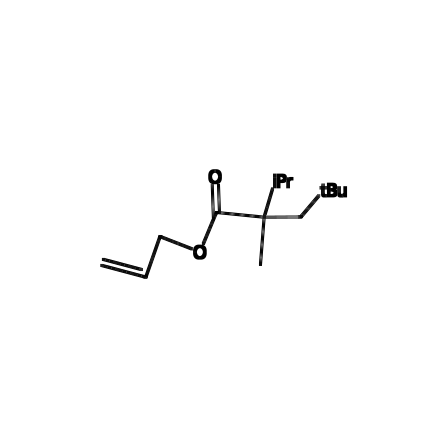 C=CCOC(=O)C(C)(CC(C)(C)C)C(C)C